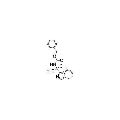 CC(C)(NC(=O)OCc1ccccc1)c1ncc2ccccn12